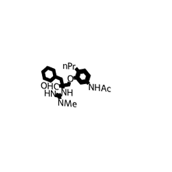 CCCc1ccc(NC(C)=O)cc1OCC(C=O)(CC1CCCCC1)NC(=N)NC